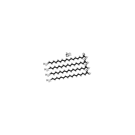 CCCCCCCCCCCCCCCCCC(=O)[O-].CCCCCCCCCCCCCCCCCC(=O)[O-].CCCCCCCCCCCCCCCCCC(=O)[O-].CCCCCCCCCCCCCCCCCC(=O)[O-].[Ca+2].[Zn+2]